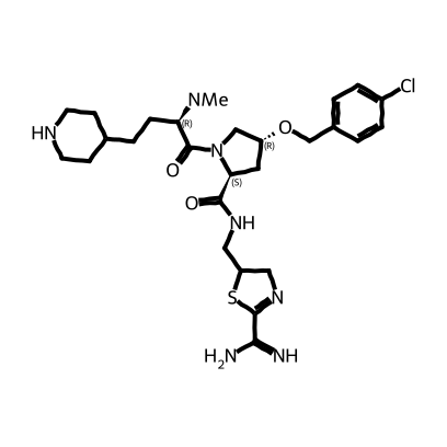 CN[C@H](CCC1CCNCC1)C(=O)N1C[C@H](OCc2ccc(Cl)cc2)C[C@H]1C(=O)NCC1CN=C(C(=N)N)S1